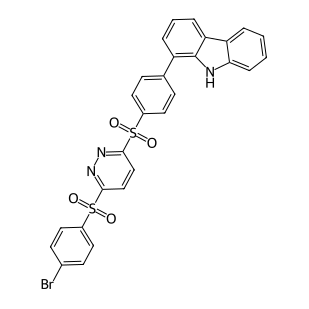 O=S(=O)(c1ccc(Br)cc1)c1ccc(S(=O)(=O)c2ccc(-c3cccc4c3[nH]c3ccccc34)cc2)nn1